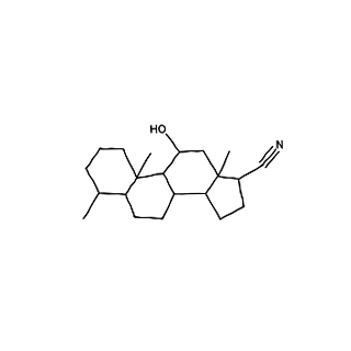 CC1CCCC2(C)C1CCC1C3CCC(C#N)C3(C)CC(O)C12